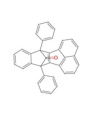 O=C1C2(c3ccccc3)C3=C(c4cccc5cccc3c45)C1(c1ccccc1)c1ccccc12